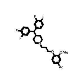 COc1cc(C(C)=O)ccc1OCCCN1CCC(C(c2ccc(F)c(F)c2)c2ccc(F)c(F)c2)CC1